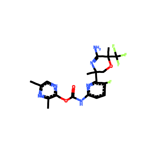 Cc1cnc(OC(=O)Nc2ccc(F)c(C3(C)COC(C)(C(F)(F)F)C(N)=N3)n2)c(C)n1